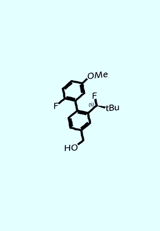 COc1ccc(F)c(-c2ccc(CO)cc2[C@@H](F)C(C)(C)C)c1